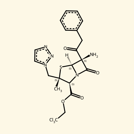 C[C@@]1(Cn2ccnn2)S[C@@H]2N(C(=O)[C@@]2(N)C(=O)Cc2ccccc2)[C@H]1C(=O)OCC(Cl)(Cl)Cl